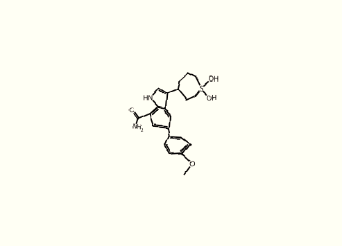 COc1ccc(-c2cc(C(N)=O)c3[nH]cc(C4CCCS(O)(O)CC4)c3c2)cc1